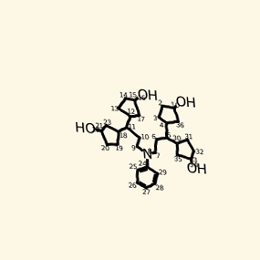 OC1CCC(C(CCN(CCC(C2CCC(O)C2)C2CCC(O)C2)c2ccccc2)C2CCC(O)C2)C1